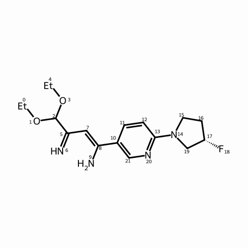 CCOC(OCC)C(=N)/C=C(\N)c1ccc(N2CC[C@H](F)C2)nc1